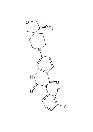 N[C@@H]1COCC12CCN(c1ccc3c(=O)n(-c4cccc(Cl)c4Cl)c(=O)[nH]c3c1)CC2